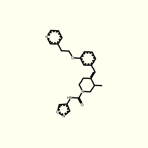 CC1CN(C(=O)Nc2cnoc2)CCC1=Cc1cccc(OCCc2cccnc2)c1